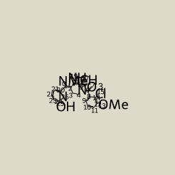 CN/C(=C1/CCN(C(=O)c2cccc(OC)c2Cl)C(C)C1=N)c1cccc(O)n1